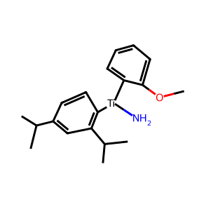 COc1cccc[c]1[Ti]([NH2])[c]1ccc(C(C)C)cc1C(C)C